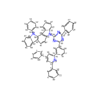 c1ccc(-c2cc(-c3ccccc3)nc(-c3cccc(-c4nc(-c5ccccc5)nc(-n5c6ccccc6c6c5ccc5c7ccccc7n(-c7ccccc7)c56)n4)c3)c2)cc1